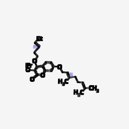 CC/C=C/CCOc1c(OC(C)C)c(=O)oc2cc(OC/C=C(\C)CCC=C(C)C)ccc12